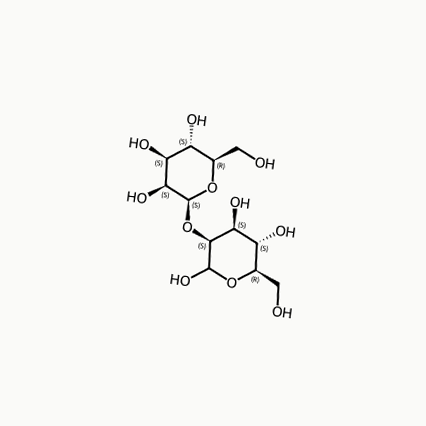 OC[C@H]1O[C@@H](O[C@@H]2C(O)O[C@H](CO)[C@@H](O)[C@@H]2O)[C@@H](O)[C@@H](O)[C@@H]1O